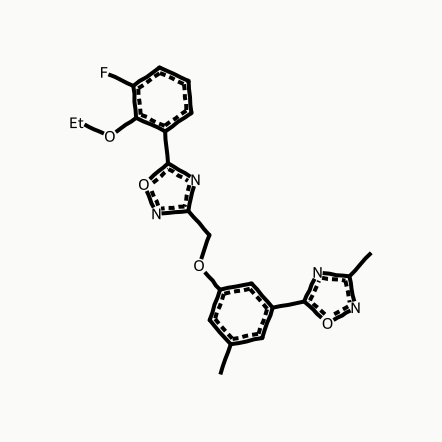 CCOc1c(F)cccc1-c1nc(COc2cc(C)cc(-c3nc(C)no3)c2)no1